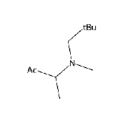 CC(=O)C(C)N(C)CC(C)(C)C